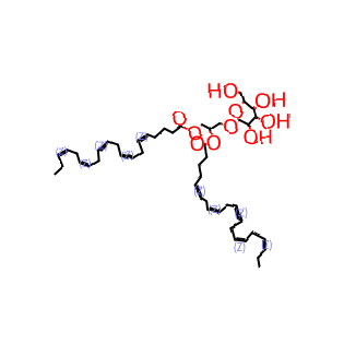 CC/C=C\C/C=C\C/C=C\C/C=C\C/C=C\CCCC(=O)OCC(COC1OC(CO)C(O)C(O)C1O)OC(=O)CCC/C=C\C/C=C\C/C=C\C/C=C\C/C=C\CC